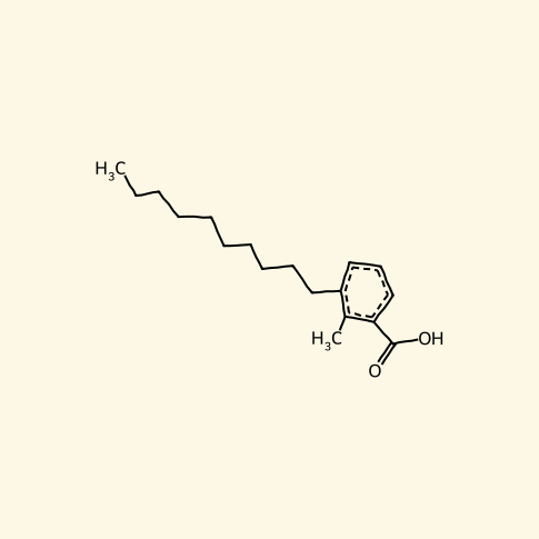 CCCCCCCCCCc1cccc(C(=O)O)c1C